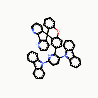 c1ccc2c(c1)Oc1ccc(-c3nc(-n4c5ccccc5c5ccccc54)ccc3-n3c4ccccc4c4ccccc43)cc1C21c2cccnc2-c2ncccc21